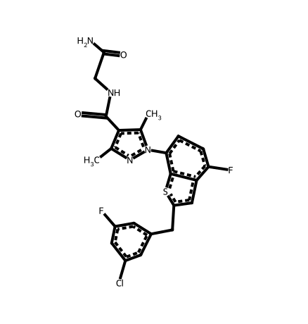 Cc1nn(-c2ccc(F)c3cc(Cc4cc(F)cc(Cl)c4)sc23)c(C)c1C(=O)NCC(N)=O